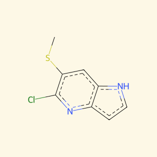 CSc1cc2[nH]ccc2nc1Cl